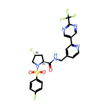 O=C(NCc1ccnc(-c2cnc(C(F)(F)F)nc2)c1)[C@@H]1C[C@@H](F)CN1S(=O)(=O)c1ccc(F)cc1